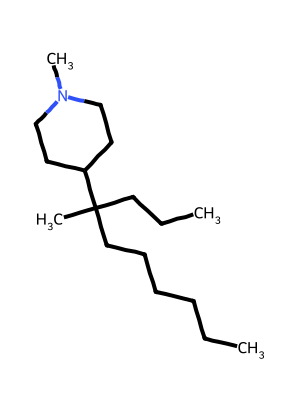 CCCCCCC(C)(CCC)C1CCN(C)CC1